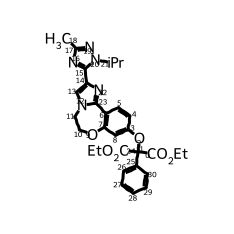 CCOC(=O)C(Oc1ccc2c(c1)OCCn1cc(-c3nc(C)nn3C(C)C)nc1-2)(C(=O)OCC)c1ccccc1